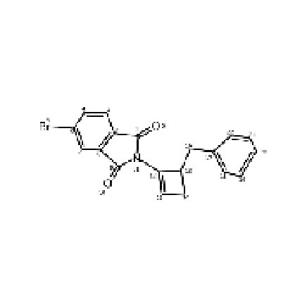 O=C1c2ccc(Br)cc2C(=O)N1C1=CCC1Cc1ccccc1